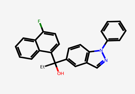 CCC(O)(c1ccc2c(cnn2-c2ccccc2)c1)c1ccc(F)c2ccccc12